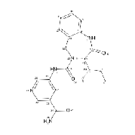 CC[C@H](C)[C@H]1C(=O)Nc2ccccc2CN1C(=O)Nc1cncc(C(N)=O)c1